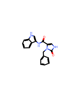 O=C(Nc1c[nH]c2ccccc12)c1c[nH]c(=O)n1Cc1ccccc1